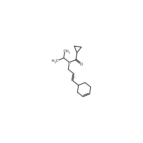 CC(C)N(C/C=C/C1CC=CCC1)C(=O)C1CC1